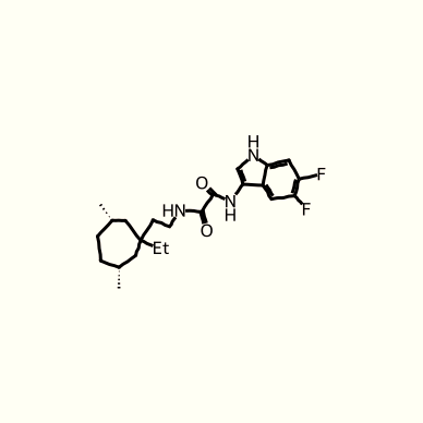 CCC1(CCNC(=O)C(=O)Nc2c[nH]c3cc(F)c(F)cc23)C[C@H](C)CC[C@H](C)C1